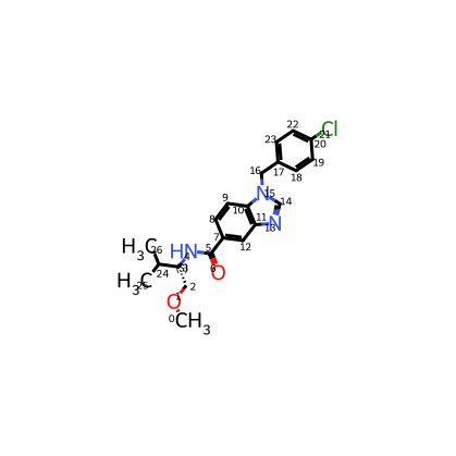 COC[C@@H](NC(=O)c1ccc2c(c1)ncn2Cc1ccc(Cl)cc1)C(C)C